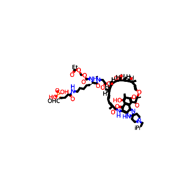 CCC(=O)OCOC(=O)N[C@@H](CCCCCNC(=O)CCC(C=O)P(=O)(O)O)C(=O)N(C)CC(=O)O[C@@H]1[C@@H](C)[C@@H](O)[C@@H](C)[C@H](C)[C@H](C)[C@@H](C)/C=C/O[C@@]2(C)Oc3c(C)c(O)c4c(c3C2=O)C2=NC3(CCN(CC(C)C)CC3)NC2=C(NC(=O)/C(C)=C\C=C\[C@@H]1C)C4=O